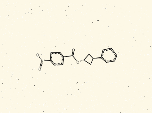 O=C(O[C@H]1C[C@H](c2ccccc2)C1)c1ccc([N+](=O)[O-])cc1